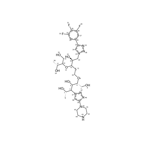 C[C@H](O)C(C(O)[C@@H](CO)OCSC(OC(CO)[C@@H](C)O)[C@@H](O)Cn1cc(-c2cc(F)c(F)c(F)c2)nn1)n1cc(N2CCNCC2)nn1